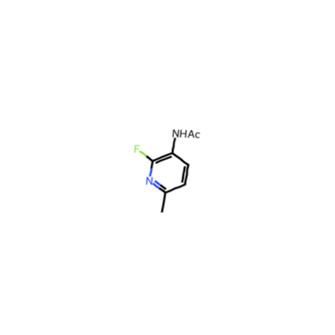 CC(=O)Nc1ccc(C)nc1F